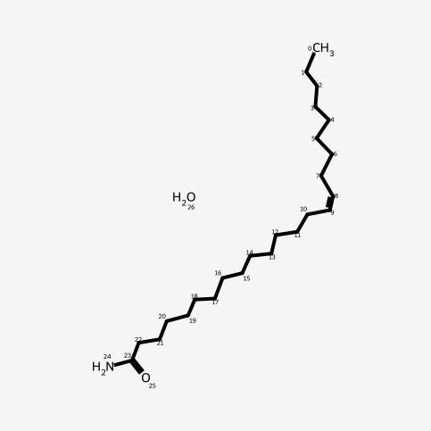 CCCCCCCC/C=C\CCCCCCCCCCCCCC(N)=O.O